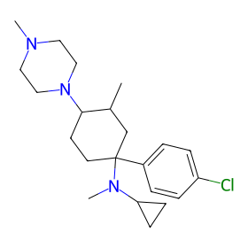 CC1CC(c2ccc(Cl)cc2)(N(C)C2CC2)CCC1N1CCN(C)CC1